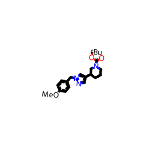 COc1ccc(Cn2cc(C3CCCN(C(=O)OC(C)(C)C)C3)cn2)cc1